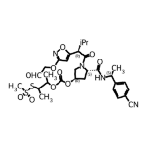 CC(OC(=O)O[C@@H]1C[C@@H](C(=O)N[C@@H](C)c2ccc(C#N)cc2)N(C(=O)[C@@H](c2cc(OCC=O)no2)C(C)C)C1)C(C)SS(C)(=O)=O